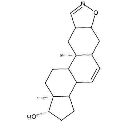 C[C@]12CC3C=NOC3CC1C=CC1C2CC[C@@]2(C)C1CC[C@@H]2O